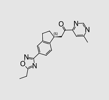 CCc1nc(-c2ccc3c(c2)CC[C@H]3CC(=O)c2cc(C)ncn2)no1